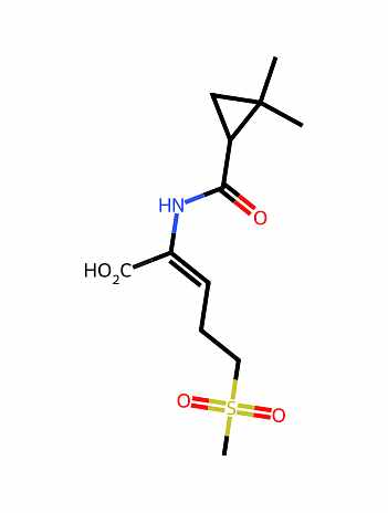 CC1(C)CC1C(=O)NC(=CCCS(C)(=O)=O)C(=O)O